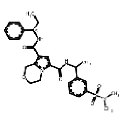 CC[C@@H](NC(=O)c1cc(C(=O)NC(C)c2cccc(S(=O)(=O)N(C)C)c2)n2c1COCC2)c1ccccc1